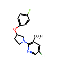 O=C(O)c1cc(Cl)cnc1N1CCC(Oc2ccc(F)cc2)C1